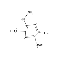 COc1cc(C(=O)O)c(NN)cc1F